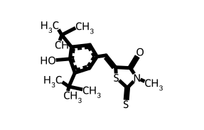 CN1C(=O)C(=Cc2cc(C(C)(C)C)c(O)c(C(C)(C)C)c2)SC1=S